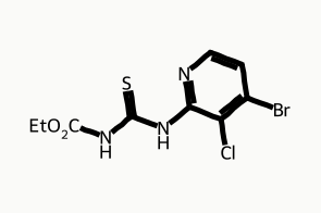 CCOC(=O)NC(=S)Nc1nccc(Br)c1Cl